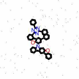 c1ccc(-c2cc(-n3c4ccccc4c4cc5c(cc43)oc3ccccc35)c3oc4cccc(-c5nc(-c6ccccc6)nc(-c6ccccc6)n5)c4c3c2)cc1